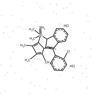 CC1=C(C)C(C)[C]([Zr]([CH3])([CH3])(=[SiH2])[CH]2C=C(c3ccccc3Cl)c3ccccc32)=C1C.Cl.Cl